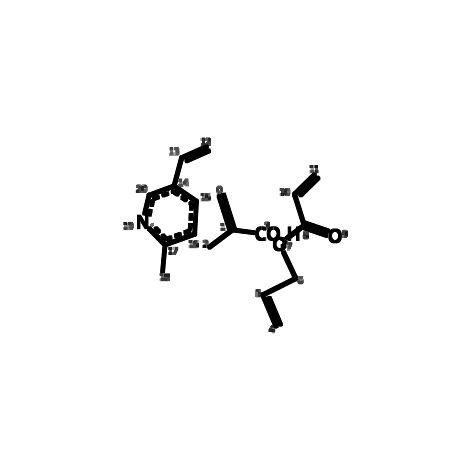 C=C(C)C(=O)O.C=CCOC(=O)C=C.C=Cc1ccc(C)nc1